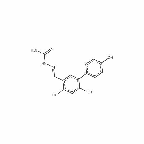 NC(=S)NN=Cc1cc(-c2ccc(O)cc2)c(O)cc1O